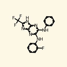 Fc1ccccc1Nc1nc2nc(C(F)(F)F)[nH]c2nc1Nc1ccccc1